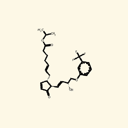 CC(C)OC(=O)CCCC=CC[C@H]1C=CC(=O)[C@@H]1C=C[C@@H](O)COc1cccc(C(F)(F)F)c1